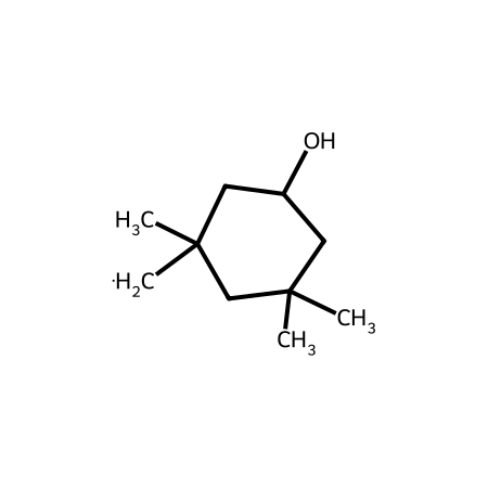 [CH2]C1(C)CC(O)CC(C)(C)C1